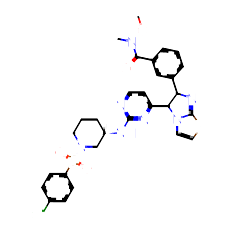 CON(C)C(=O)c1cccc(C2N=C3SC=CN3C2c2ccnc(N[C@@H]3CCCN(S(=O)(=O)c4ccc(Cl)cc4)C3)n2)c1